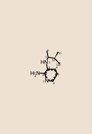 CC(Nc1cccnc1N)[C@@H](C)I